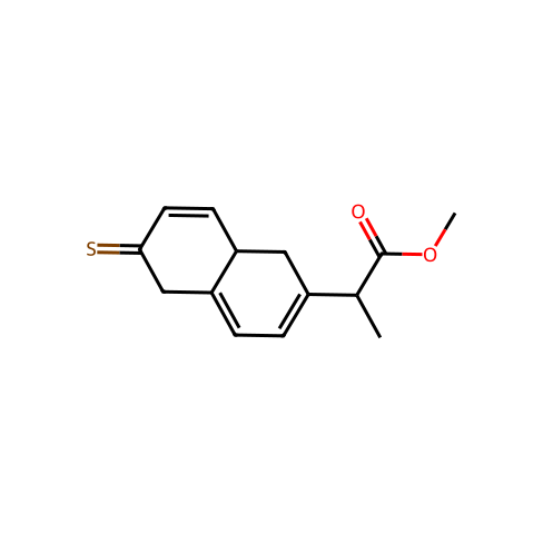 COC(=O)C(C)C1=CC=C2CC(=S)C=CC2C1